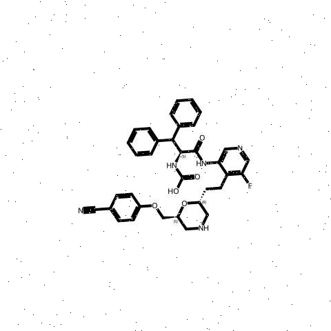 N#Cc1ccc(OC[C@@H]2CNC[C@@H](CCc3c(F)cncc3NC(=O)[C@@H](NC(=O)O)C(c3ccccc3)c3ccccc3)O2)cc1